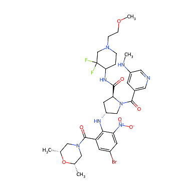 CNc1cncc(C(=O)N2C[C@H](Nc3c(C(=O)N4C[C@@H](C)O[C@@H](C)C4)cc(Br)cc3[N+](=O)[O-])C[C@H]2C(=O)NC2CCN(CCOC)CC2(F)F)c1